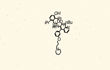 CCCCn1c(=O)c(NC(=O)Nc2c(C(C)C)ccc(O)c2C(C)C)c(-c2cccc(OCCCN3CCCCC3)c2)c2cccnc21